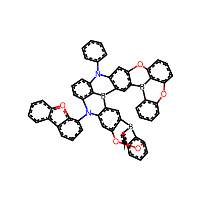 c1ccc(N2c3cc4c(cc3B3c5cc6c(cc5N(c5cccc7c5oc5ccccc57)c5cccc2c53)Oc2cccc3c2B6c2ccccc2O3)B2c3ccccc3Oc3cccc(c32)O4)cc1